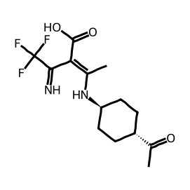 C/C(N[C@H]1CC[C@H](C(C)=O)CC1)=C(/C(=N)C(F)(F)F)C(=O)O